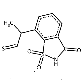 CC(C=S)c1cccc2c1S(=O)(=O)NC2=O